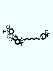 O=C1CCC(N2Cc3c(ccc(F)c3SCCCCCCCN3CCC(F)(F)CC3)C2=O)C(=O)N1